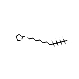 FC(F)(F)C(F)(F)C(F)(F)C(F)(F)C(F)(F)CCCCCCCOC1CCCO1